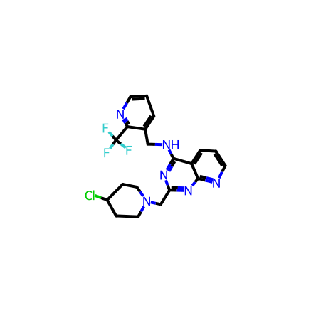 FC(F)(F)c1ncccc1CNc1nc(CN2CCC(Cl)CC2)nc2ncccc12